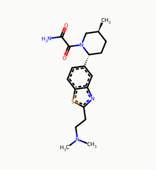 C[C@H]1CC[C@H](c2ccc3sc(CCN(C)C)nc3c2)N(C(=O)C(N)=O)C1